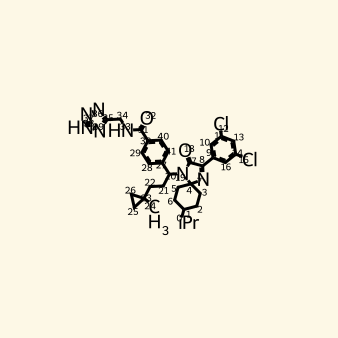 CC(C)C1CCC2(CC1)N=C(c1cc(Cl)cc(Cl)c1)C(=O)N2C(CCC1(C)CC1)c1ccc(C(=O)NCc2nn[nH]n2)cc1